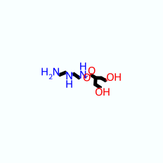 NCCNCCNOC(=O)C(CCO)CCO